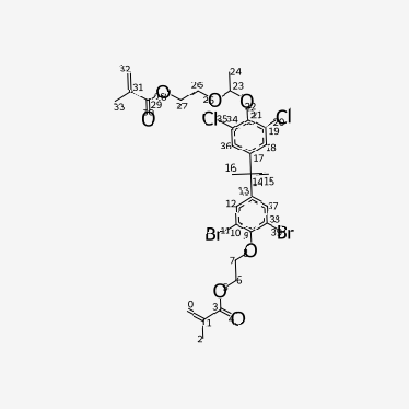 C=C(C)C(=O)OCCOc1c(Br)cc(C(C)(C)c2cc(Cl)c(OC(C)OCCOC(=O)C(=C)C)c(Cl)c2)cc1Br